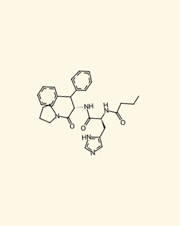 CCCC(=O)N[C@@H](Cc1cnc[nH]1)C(=O)N[C@H](C(=O)N1CCCC1)C(c1ccccc1)c1ccccc1